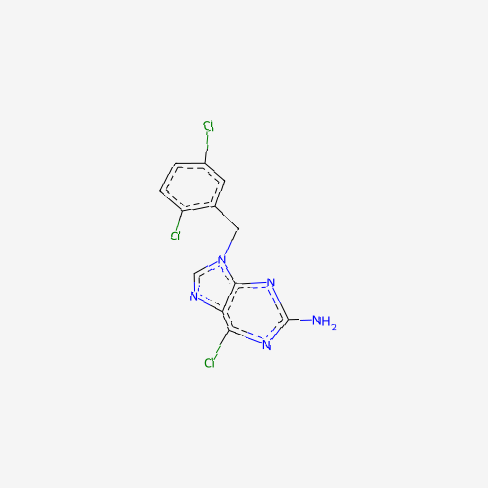 Nc1nc(Cl)c2ncn(Cc3cc(Cl)ccc3Cl)c2n1